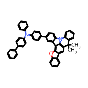 CC1(C)c2ccccc2-n2c3ccc(-c4ccc(N(c5ccccc5)c5ccc(-c6ccccc6)cc5)cc4)cc3c3c4oc5ccccc5c4cc1c32